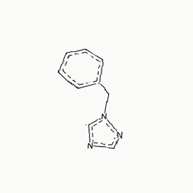 [c]1ncnn1Cc1ccccc1